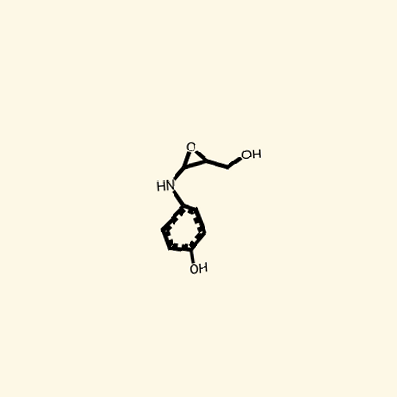 OCC1OC1Nc1ccc(O)cc1